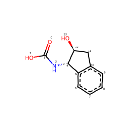 O=C(O)N[C@H]1c2ccccc2C[C@@H]1O